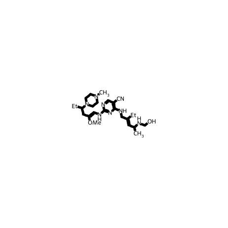 CC/C(=C\C(C)NCO)CNc1nc(N/C=C(/CC(CC)N2CCN(C)CC2)OC)ncc1C#N